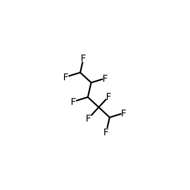 FC(F)C(F)C(F)C(F)(F)C(F)F